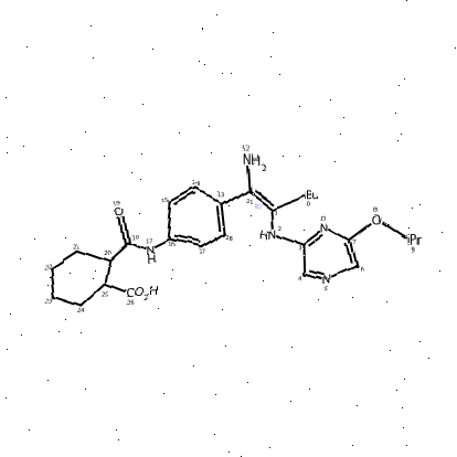 CCC(C)/C(Nc1cncc(OC(C)C)n1)=C(\N)c1ccc(NC(=O)C2CCCCC2C(=O)O)cc1